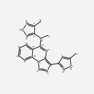 Cc1cc(-c2nnn3c2nc(N(C)c2nonc2C)c2ccccc23)no1